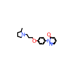 CC1CCCN1CCCOc1ccc(-n2ncccc2=O)cc1